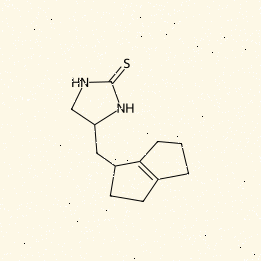 S=C1NCC(CC2CCC3=C2CCC3)N1